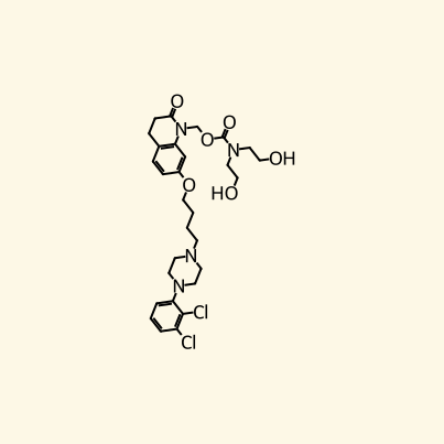 O=C(OCN1C(=O)CCc2ccc(OCCCCN3CCN(c4cccc(Cl)c4Cl)CC3)cc21)N(CCO)CCO